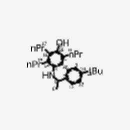 CCCc1cc(NC(C)c2ccc(C(C)(C)C)cc2)c(CCC)c(CCC)c1O